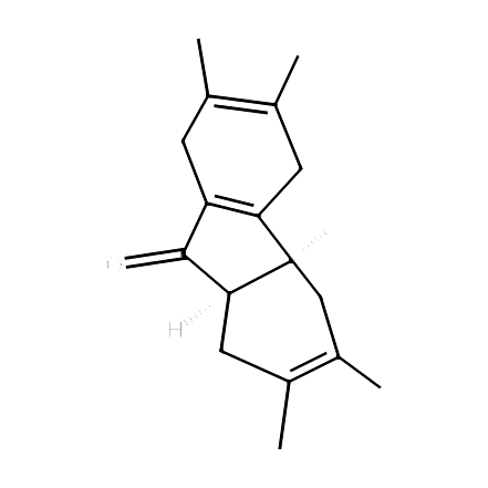 CC1=C(C)CC2=C(C1)C(=O)[C@@H]1CC(C)=C(C)C[C@]21C